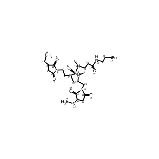 BSC1CC(=O)N(CCN(C)P(=O)(N(C)CCC(=O)NCCC(C)CC)N(C)CCN2C(=O)CC(SB)C2=O)C1=O